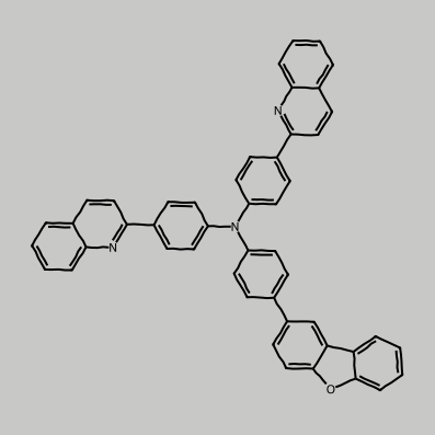 c1ccc2nc(-c3ccc(N(c4ccc(-c5ccc6oc7ccccc7c6c5)cc4)c4ccc(-c5ccc6ccccc6n5)cc4)cc3)ccc2c1